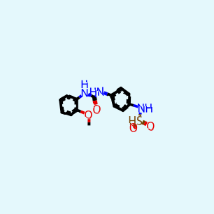 COc1ccccc1NC(=O)Nc1ccc(N[SH](=O)=O)cc1